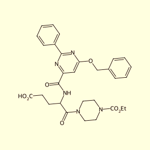 CCOC(=O)N1CCN(C(=O)C(CCC(=O)O)NC(=O)c2cc(OCc3ccccc3)nc(-c3ccccc3)n2)CC1